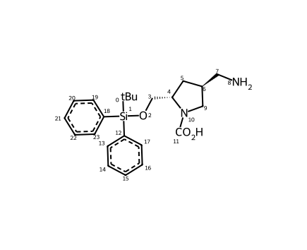 CC(C)(C)[Si](OC[C@@H]1C[C@@H](CN)CN1C(=O)O)(c1ccccc1)c1ccccc1